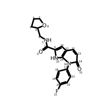 O=C(NCC1CCCO1)c1cc2ccc(=O)n(-c3ccc(F)cc3)c2[nH]1